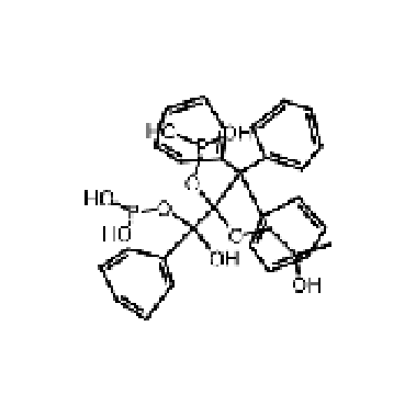 CC(O)COC(OP(O)O)(C(O)(OP(O)O)c1ccccc1)C(c1ccccc1)(c1ccccc1)c1ccccc1